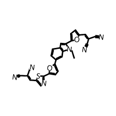 CCn1c(-c2ccc(C=C(C#N)C#N)o2)cc2ccc(-c3ccc(-c4ncc(C=C(C#N)C#N)s4)o3)cc21